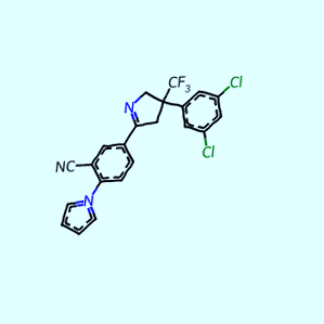 N#Cc1cc(C2=NCC(c3cc(Cl)cc(Cl)c3)(C(F)(F)F)C2)ccc1-n1cccc1